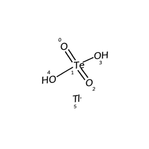 O=[Te](=O)(O)O.[Tl]